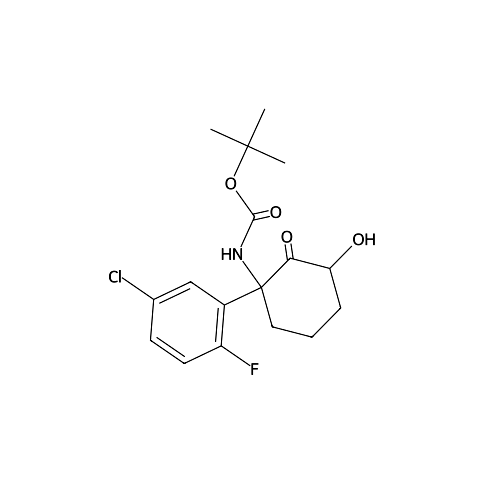 CC(C)(C)OC(=O)NC1(c2cc(Cl)ccc2F)CCCC(O)C1=O